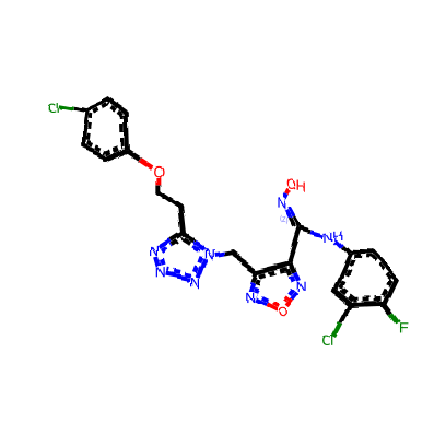 O/N=C(\Nc1ccc(F)c(Cl)c1)c1nonc1Cn1nnnc1CCOc1ccc(Cl)cc1